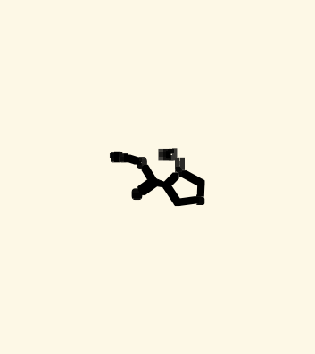 CC(C)(C)OC(=O)[C@@H]1CSCN1.Cl